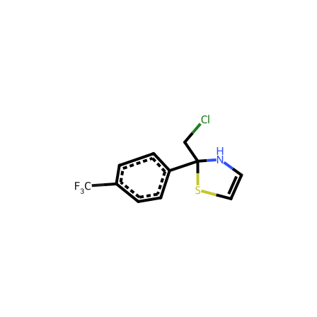 FC(F)(F)c1ccc(C2(CCl)NC=CS2)cc1